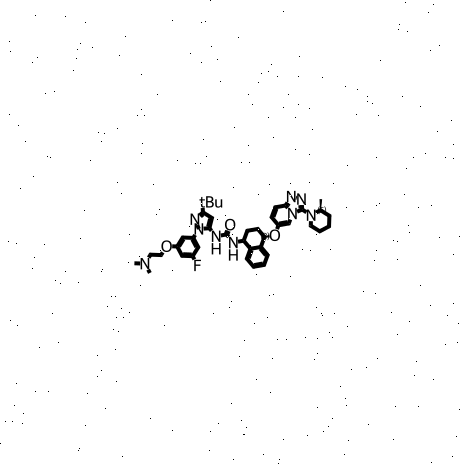 C[C@H]1CCCCN1c1nnc2ccc(O[C@@H]3CCC(NC(=O)Nc4cc(C(C)(C)C)nn4-c4cc(F)cc(OCCN(C)C)c4)c4ccccc43)cn12